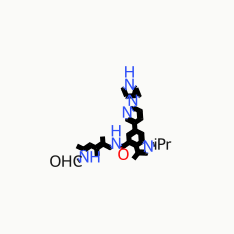 C/C(=C/C(C)=C(\C)CNC(=O)c1cc(-c2ccc(N3CC4CC3CN4)nc2)cc2c1c(C)cn2C(C)C)NC=O